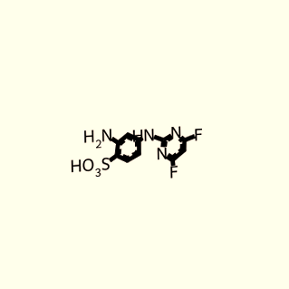 Nc1cc(Nc2nc(F)cc(F)n2)ccc1S(=O)(=O)O